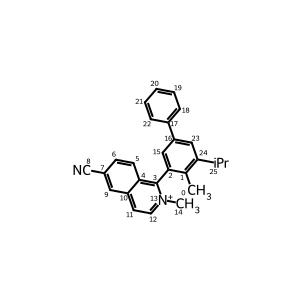 Cc1c(-c2c3ccc(C#N)cc3cc[n+]2C)cc(-c2ccccc2)cc1C(C)C